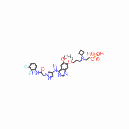 COc1cc2c(Nc3cnn(CC(=O)Nc4cccc(F)c4F)c3)ncnc2cc1OCCCN(CCOP(=O)(O)O)C1CCC1